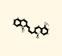 CC/N=C(\C=C/C=C1/C=Cc2ccccc2N1CC)/C=C\c1ccccc1C